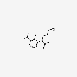 CC(=O)N(OCCCl)c1cccc(C(C)C)c1C